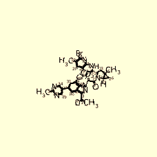 CC(=O)c1nn(CC(=O)N2[C@H](C(=O)Nc3nc(Br)c(C)cc3C)C[C@@]3(C)C[C@@H]23)c2c(C)cc(-c3cnc(C)nc3)cc12